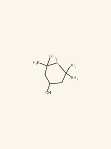 BC1(B)CC(O)CC(B)(B)N1